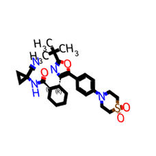 CC(C)(C)c1nc([C@@H]2CCCC[C@H]2C(=O)NC2(C#N)CC2)c(-c2ccc(N3CCS(=O)(=O)CC3)cc2)o1